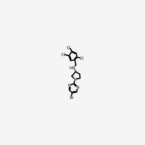 Clc1cc(Cl)c(CN[C@H]2CCN(c3ncc(Br)cn3)C2)cc1Cl